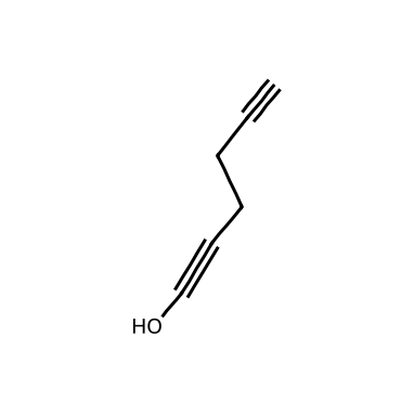 C#CCCC#CO